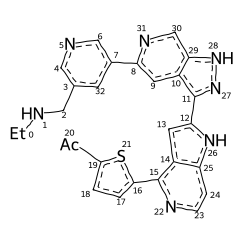 CCNCc1cncc(-c2cc3c(-c4cc5c(-c6ccc(C(C)=O)s6)nccc5[nH]4)n[nH]c3cn2)c1